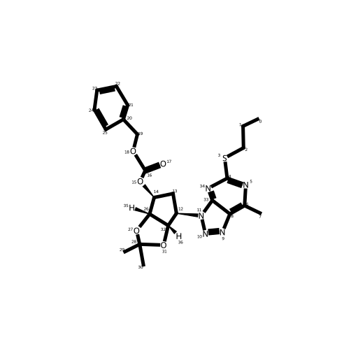 CCCSc1nc(C)c2nnn([C@@H]3C[C@H](OC(=O)OCc4ccccc4)[C@H]4OC(C)(C)O[C@H]43)c2n1